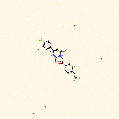 CCCCCc1nc(-c2ccc(Cl)cc2)cc(=O)n1CC(=O)N1CCC(CC(=O)O)CC1